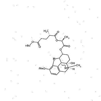 CCCCOC(=O)CC[C@H](C)C(=O)O[C@@H](C)C(=O)OC1CC[C@@]2(O)[C@H]3Cc4ccc(OC)c5c4[C@@]2(CCN3C)[C@H]1O5